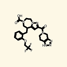 O=C(O)N1CCn2nc(C(=O)N3CCc4[nH]nnc4C3)cc2C(Cc2ccccc2OCC(F)(F)F)C1